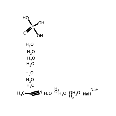 CC#N.O.O.O.O.O.O.O.O.O.O.O.O.O=P(O)(O)O.[NaH].[NaH]